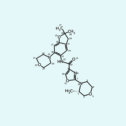 C[C@H]1COCCN1c1nc(C(=O)Nc2cc3c(cc2N2CCOCC2)OC(C)(C)C3)co1